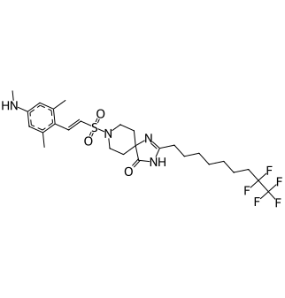 CNc1cc(C)c(C=CS(=O)(=O)N2CCC3(CC2)N=C(CCCCCCCC(F)(F)C(F)(F)F)NC3=O)c(C)c1